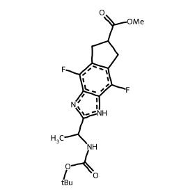 COC(=O)C1Cc2c(c(F)c3[nH]c(C(C)NC(=O)OC(C)(C)C)nc3c2F)C1